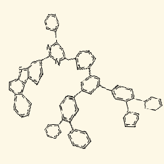 C1=CCCC(c2ccc(-c3cc(-c4cccc(-c5cc(-c6ccccc6)nc(-c6ccc7c(c6)sc6ccc8ccccc8c67)n5)c4)cc(-c4ccc(-c5ccccc5)c(-c5ccccc5)c4)c3)cc2-c2ccccc2)=C1